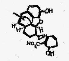 CN1CC[C@]23c4c5ccc(O)c4O[C@H]2[C@@H](O)C=C[C@H]3[C@H]1C5.O=C(O)c1ccccc1O